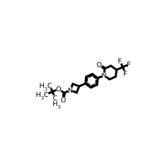 CC(C)(C)OC(=O)N1CC(c2ccc(N3CCC(C(F)(F)F)CC3=O)cc2)C1